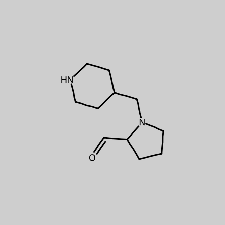 O=CC1CCCN1CC1CCNCC1